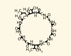 CC(C)CN1CC(=O)NCC(=O)NCC(=O)NCC(=O)NC(C(C)C)C(=O)NCC(=O)NCC(=O)NCC(=O)NCC(=O)NCC(=O)NC(C(C)C)C1=O